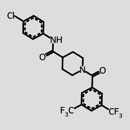 O=C(Nc1ccc(Cl)cc1)C1CCN(C(=O)c2cc(C(F)(F)F)cc(C(F)(F)F)c2)CC1